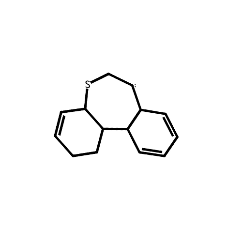 [C]1CSC2C=CCCC2C2C=CC=CC12